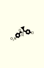 O=C(N[C@@H](c1ccc(Cl)cc1)C1CC1)c1ccc([N+](=O)[O-])cc1